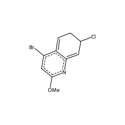 COc1cc(Br)c2c(n1)=CC(Cl)CC=2